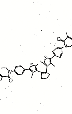 C=C(C)C(=O)N(CC)c1ccc(-c2sc(C)c(C3=C(c4c(C)sc(-c5ccc(N(CC)C(=O)C(=C)C)cc5)c4C)CCC3)c2C)cc1